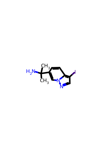 CC(C)(N)c1ccc2c(I)cnn2c1